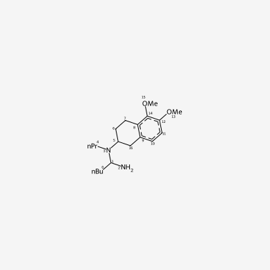 CCCCC(N)N(CCC)C1CCc2c(ccc(OC)c2OC)C1